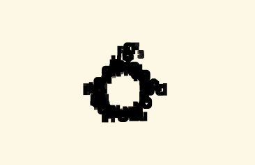 CC[C@H](C)[C@@H]1NC(=O)[C@H](CC(C)C)N(C)C(=O)C[C@@H](C(=O)N2CCCC2)NC(=O)[C@H](CC(C)C)NC(=O)C(C)(C)N(C)C(=O)[C@H](CC(C)C)NC(=O)[C@H](CCc2ccc(C(F)(F)F)c(F)c2)NC(=O)CN(C)C(=O)[C@H](Cc2ccc(Cl)cc2)N(C)C(=O)CN(C)C(=O)CN(C)C1=O